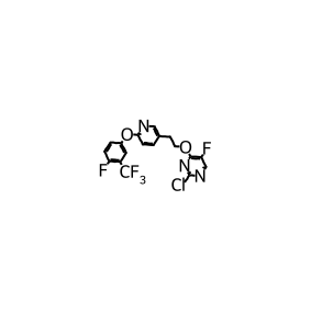 Fc1ccc(Oc2ccc(CCOc3nc(Cl)ncc3F)cn2)cc1C(F)(F)F